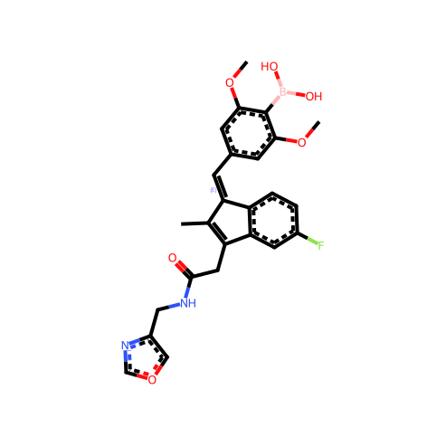 COc1cc(/C=C2/C(C)=C(CC(=O)NCc3cocn3)c3cc(F)ccc32)cc(OC)c1B(O)O